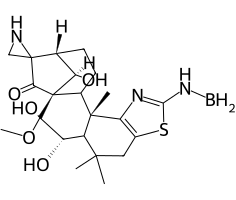 BNc1nc2c(s1)CC(C)(C)C1[C@H](O)C(O)(OC)[C@]34C(=O)C5(CN5)[C@H](CCC3[C@]21C)[C@H]4O